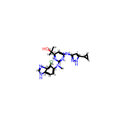 CN(c1nc(Nc2cc(C3CC3)[nH]n2)cc(C(C)(C)O)n1)c1ccc2[nH]cnc2c1Cl